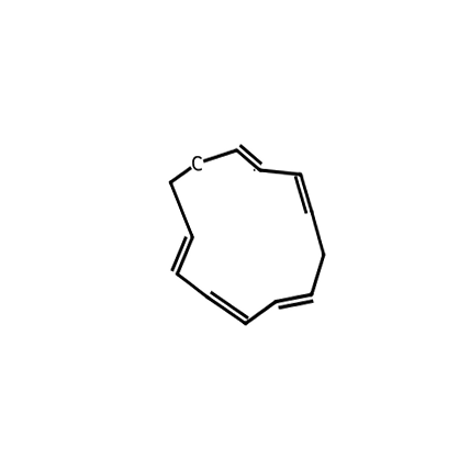 [C]1=C/CC/C=C/C=C\C=C\C/C=C/1